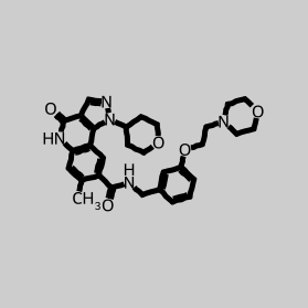 Cc1cc2[nH]c(=O)c3cnn(C4CCOCC4)c3c2cc1C(=O)NCc1cccc(OCCN2CCOCC2)c1